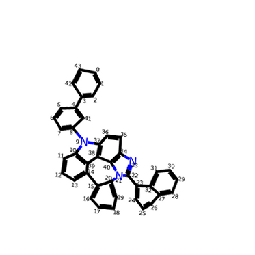 c1ccc(-c2cccc(-n3c4cccc5c6ccccc6n6c(-c7cccc8ccccc78)nc7ccc3c(c54)c76)c2)cc1